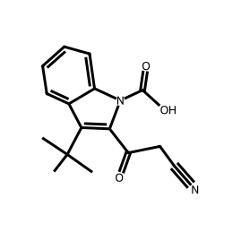 CC(C)(C)c1c(C(=O)CC#N)n(C(=O)O)c2ccccc12